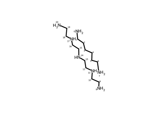 NCCCCCCN.NCCNCCNCCNCCN